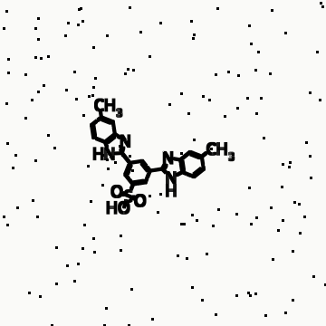 Cc1ccc2[nH]c(-c3cc(-c4nc5cc(C)ccc5[nH]4)cc(S(=O)(=O)O)c3)nc2c1